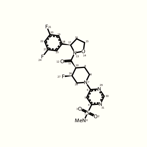 CNS(=O)(=O)c1cc(N2CC[C@H](C(=O)N3OCC[C@@H]3c3cc(F)cc(F)c3)[C@H](F)C2)ncn1